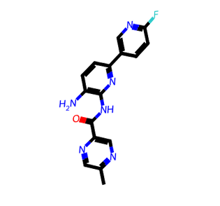 Cc1cnc(C(=O)Nc2nc(-c3ccc(F)nc3)ccc2N)cn1